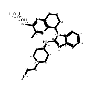 Cc1nc2c(nc1C)C(n1c(NC3CCN(CCN)CC3)nc3ccccc31)CCC2.O.O.O